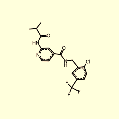 CC(C)C(=O)Nc1cc(C(=O)NCc2cc(C(F)(F)F)ccc2Cl)ccn1